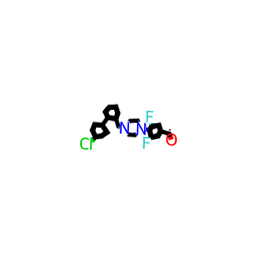 O=[C]c1cc(F)c(N2CCN(Cc3ccccc3-c3ccc(Cl)cc3)CC2)c(F)c1